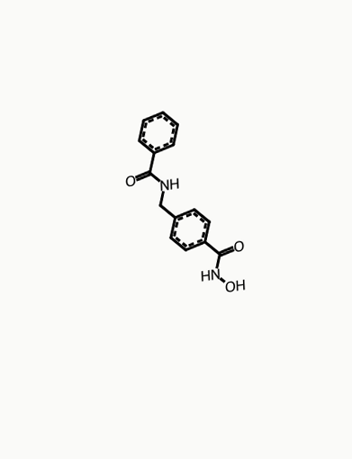 O=C(NO)c1ccc(CNC(=O)c2ccccc2)cc1